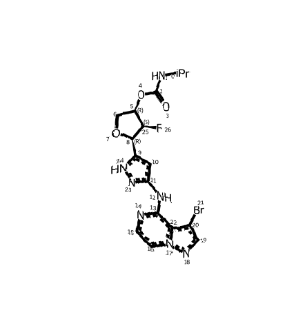 CC(C)NC(=O)O[C@@H]1CO[C@H](c2cc(Nc3nccn4ncc(Br)c34)n[nH]2)[C@@H]1F